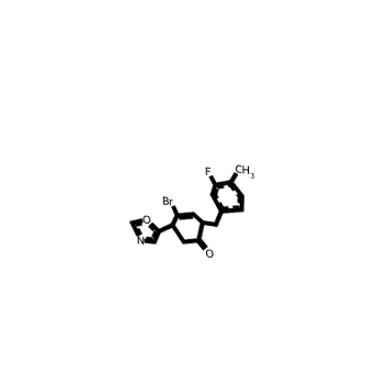 Cc1ccc(CC2C=C(Br)C(c3cnco3)CC2=O)cc1F